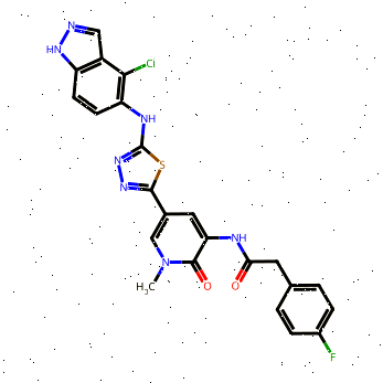 Cn1cc(-c2nnc(Nc3ccc4[nH]ncc4c3Cl)s2)cc(NC(=O)Cc2ccc(F)cc2)c1=O